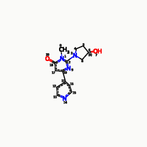 Cn1c(N2CC[C@@H](O)C2)nc(-c2ccncc2)cc1=O